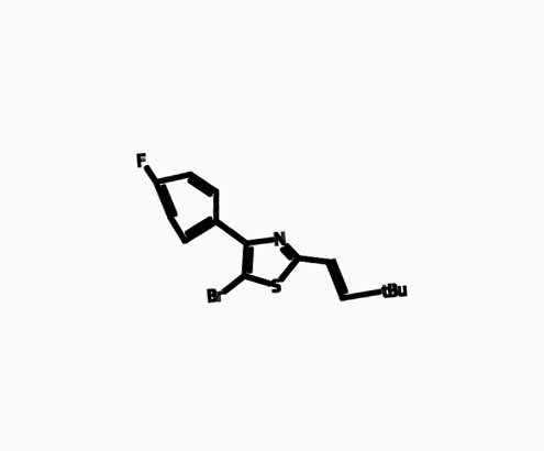 CC(C)(C)/C=C/c1nc(-c2ccc(F)cc2)c(Br)s1